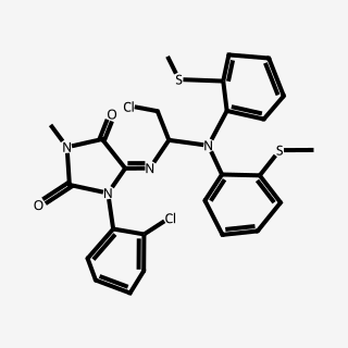 CSc1ccccc1N(c1ccccc1SC)C(CCl)/N=C1\C(=O)N(C)C(=O)N1c1ccccc1Cl